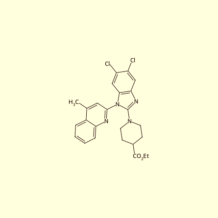 CCOC(=O)C1CCN(c2nc3cc(Cl)c(Cl)cc3n2-c2cc(C)c3ccccc3n2)CC1